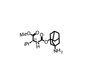 COC(=O)[C@@H](NC(=O)OC12CC3CC(CC(N)(C3)C1)C2)C(C)C